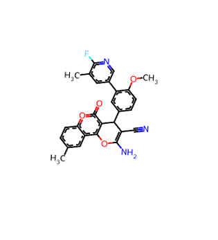 COc1ccc(C2C(C#N)=C(N)Oc3c2c(=O)oc2ccc(C)cc32)cc1-c1cnc(F)c(C)c1